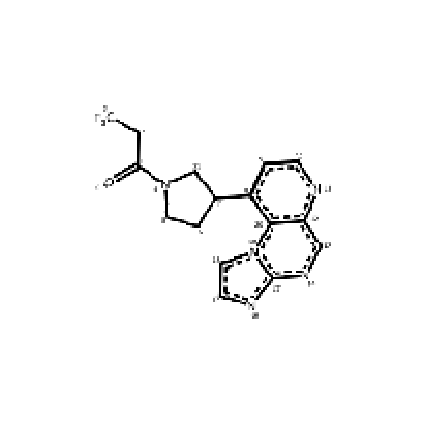 O=C(CC(F)(F)F)N1CCC(c2ccnc3cnc4nccn4c23)C1